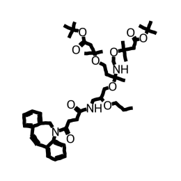 CCCOC(CNC(=O)CCC(=O)N1Cc2ccccc2C#Cc2ccccc21)COC(C)(CCOC(C)(C)CC(=O)OC(C)(C)C)NCOC(C)(C)CC(=O)OC(C)(C)C